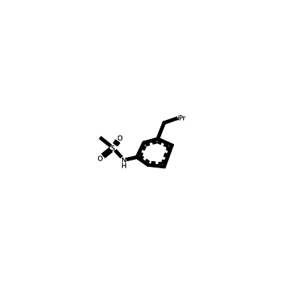 CC(C)Cc1cccc(NS(C)(=O)=O)c1